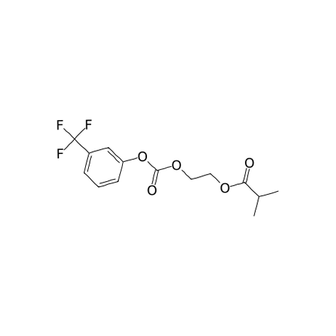 CC(C)C(=O)OCCOC(=O)Oc1cccc(C(F)(F)F)c1